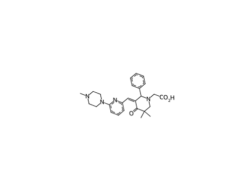 CN1CCN(c2cccc(/C=C3\C(=O)C(C)(C)CN(CC(=O)O)C3c3ccccc3)n2)CC1